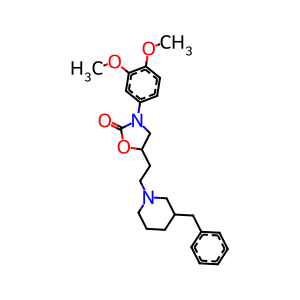 COc1ccc(N2CC(CCN3CCCC(Cc4ccccc4)C3)OC2=O)cc1OC